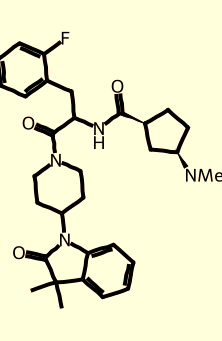 CN[C@@H]1CC[C@H](C(=O)NC(Cc2ccccc2F)C(=O)N2CCC(N3C(=O)C(C)(C)c4ccccc43)CC2)C1